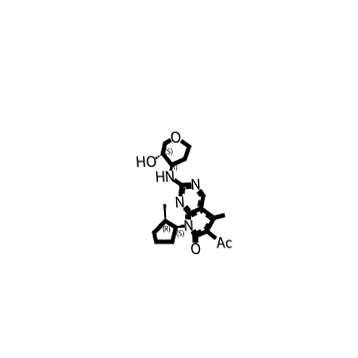 CC(=O)c1c(C)c2cnc(N[C@@H]3CCOC[C@H]3O)nc2n([C@H]2CCC[C@H]2C)c1=O